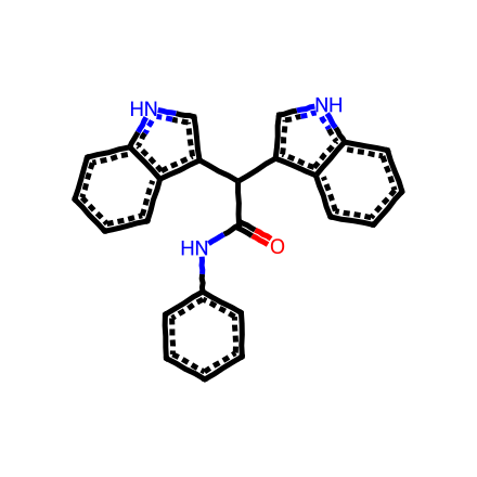 O=C(Nc1ccccc1)C(c1c[nH]c2ccccc12)c1c[nH]c2ccccc12